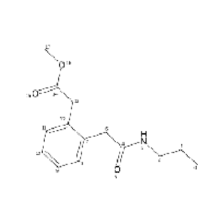 CCCNC(=O)Cc1ccccc1CC(=O)OC